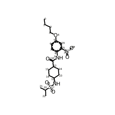 CCCCOc1ccc(NC(=O)C2CCC(NS(=O)(=O)C(C)C)CC2)c([N+](=O)[O-])c1